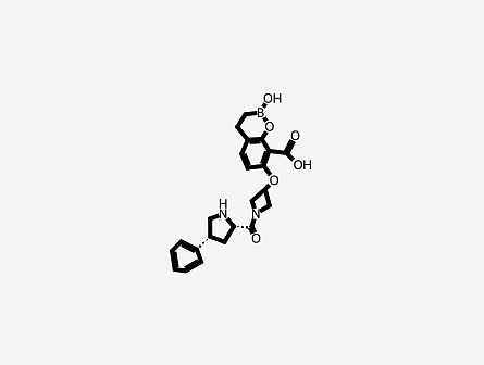 O=C(O)c1c(OC2CN(C(=O)[C@@H]3C[C@H](c4ccccc4)CN3)C2)ccc2c1OB(O)CC2